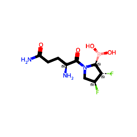 NC(=O)CC[C@H](N)C(=O)N1C[C@H](F)[C@@H](F)[C@@H]1B(O)O